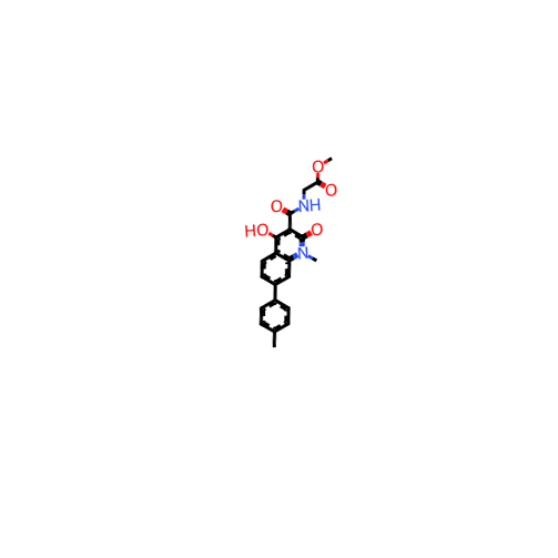 COC(=O)CNC(=O)c1c(O)c2ccc(-c3ccc(C)cc3)cc2n(C)c1=O